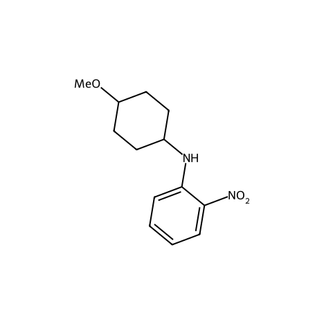 COC1CCC(Nc2ccccc2[N+](=O)[O-])CC1